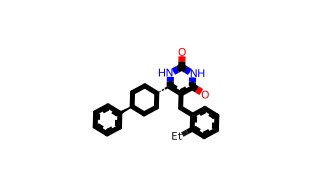 CCc1ccccc1Cc1c(=O)[nH]c(=O)[nH]c1[C@H]1CC[C@H](c2ccccc2)CC1